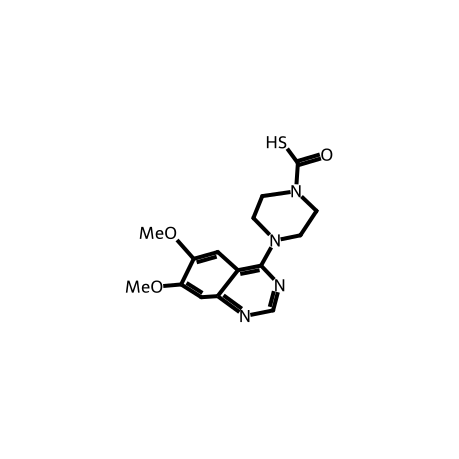 COc1cc2ncnc(N3CCN(C(=O)S)CC3)c2cc1OC